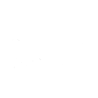 CC(C)(C1CCN(C(=O)c2ccc(-n3ccccc3=O)cc2S(C)(=O)=O)CC1)S(=O)(=O)c1cccc(C(F)(F)F)c1